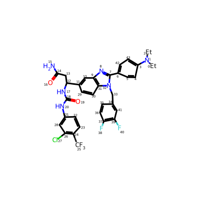 [CH2]CN(C[CH2])c1ccc(-c2nc3cc(C(CC(N)=O)NC(=O)Nc4ccc(C(F)(F)F)c(Cl)c4)ccc3n2Cc2ccc(F)c(F)c2)cc1